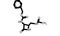 CC(=O)NCC1NC(=O)C1NC(=O)OCc1ccccc1